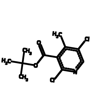 Cc1c(Cl)cnc(Cl)c1C(=O)OC(C)(C)C